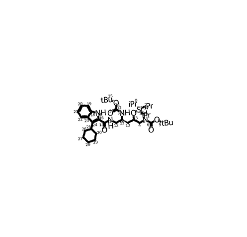 CC(C)[Si](OC(CNC(=O)OC(C)(C)C)C[C@@H](CNC(=O)c1[nH]c2ccccc2c1C1CCCCC1)NC(=O)OC(C)(C)C)(C(C)C)C(C)C